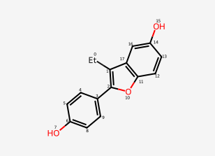 CCc1c(-c2ccc(O)cc2)oc2ccc(O)cc12